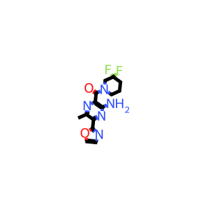 Cc1nc(C(=O)N2CCCC(F)(F)C2)c(N)nc1-c1ncco1